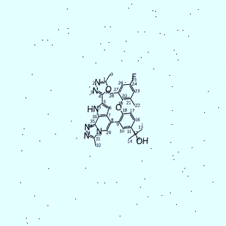 Cc1nnc(-c2cc3c(-c4cc(C(C)(C)O)ccc4Oc4c(C)cc(F)cc4C)cn4c(C)nnc4c3[nH]2)o1